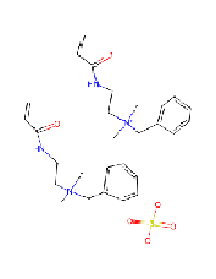 C=CC(=O)NCC[N+](C)(C)Cc1ccccc1.C=CC(=O)NCC[N+](C)(C)Cc1ccccc1.O=S(=O)([O-])[O-]